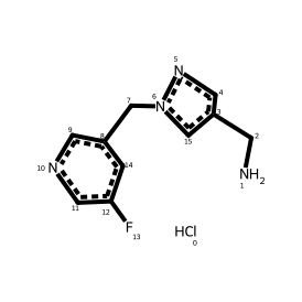 Cl.NCc1cnn(Cc2cncc(F)c2)c1